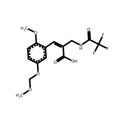 COCOc1ccc(OC)c(C=C(CNC(=O)C(F)(F)F)C(=O)O)c1